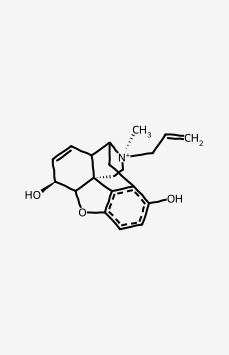 C=CC[N@@+]1(C)CC[C@@]23c4c5ccc(O)c4CC1C2C=C[C@H](O)C3O5